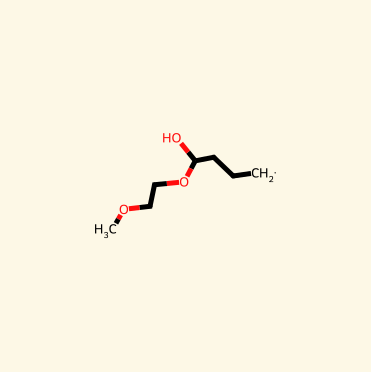 [CH2]CCC(O)OCCOC